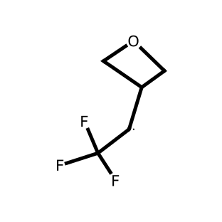 FC(F)(F)[CH]C1COC1